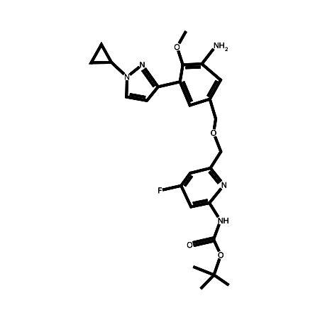 COc1c(N)cc(COCc2cc(F)cc(NC(=O)OC(C)(C)C)n2)cc1-c1ccn(C2CC2)n1